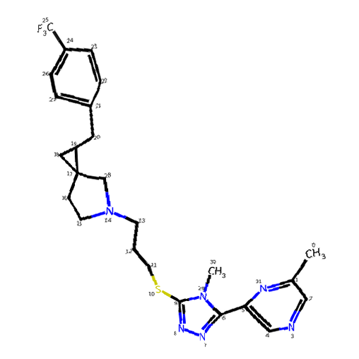 Cc1cncc(-c2nnc(SCCCN3CCC4(CC4Cc4ccc(C(F)(F)F)cc4)C3)n2C)n1